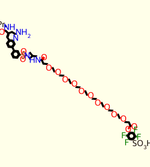 CCCNC(=O)C1=Cc2ccc(-c3cccc(S(=O)(=O)N4CC(CNC(=O)CCOCCOCCOCCOCCOCCOCCOCCOCCOCCOCCC(=O)Oc5c(F)c(F)c(S(=O)(=O)O)c(F)c5F)C4)c3)cc2N=C(N)C1